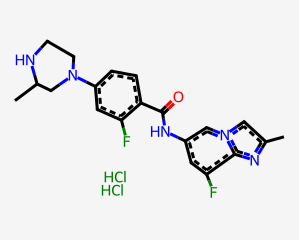 Cc1cn2cc(NC(=O)c3ccc(N4CCNC(C)C4)cc3F)cc(F)c2n1.Cl.Cl